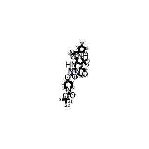 CC(C)(C)CC(N/C(=N/C(=O)OC1CCN(C(=O)OC(C)(C)C)CC1)N1CCOCC1)C(=O)NC1(C#N)CCCC1